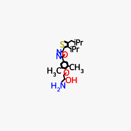 Cc1cc(-c2nnc(-c3scc(CC(C)C)c3C(C)C)o2)cc(C)c1OCC(O)CN